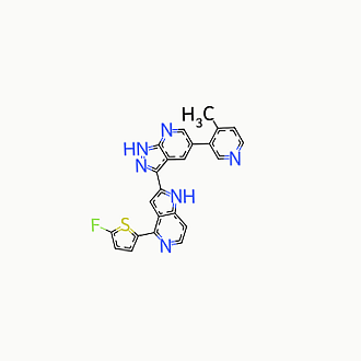 Cc1ccncc1-c1cnc2[nH]nc(-c3cc4c(-c5ccc(F)s5)nccc4[nH]3)c2c1